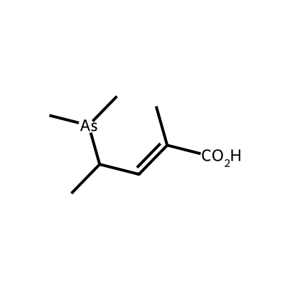 CC(=CC(C)[As](C)C)C(=O)O